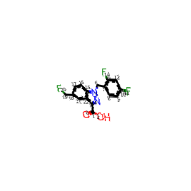 O=C(O)c1nn(Cc2ccc(F)cc2F)c2ccc(CF)cc12